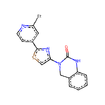 CCc1cc(-c2nc(N3Cc4ccccc4NC3=O)cs2)ccn1